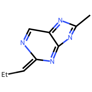 CCC=c1ncc2c(n1)N=C(C)N=2